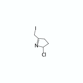 ClC1CCC(CI)=N1